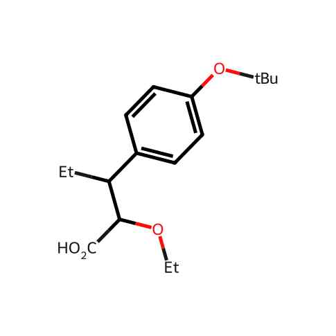 CCOC(C(=O)O)C(CC)c1ccc(OC(C)(C)C)cc1